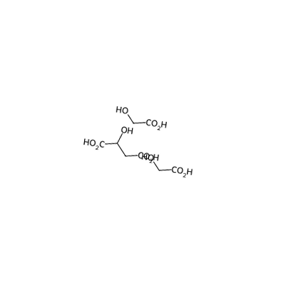 O=C(O)CC(O)C(=O)O.O=C(O)CO.O=C(O)CO